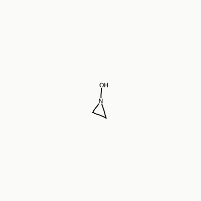 ON1CC1